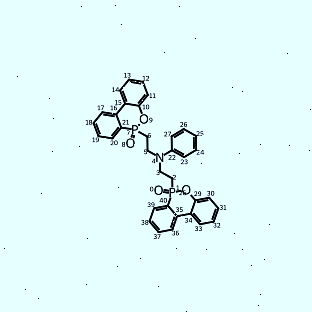 O=P1(CCN(CCP2(=O)Oc3ccccc3-c3ccccc32)c2ccccc2)Oc2ccccc2-c2ccccc21